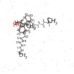 CCCCCCCCCCc1c(CCCCCCCCC)ccc(O)c1C(C)(C)c1ccccc1